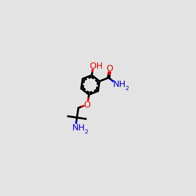 CC(C)(N)COc1ccc(O)c(C(N)=O)c1